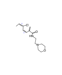 C=C(/C=C\C(Cl)=C/C)C(=O)NCCN1CCOCC1